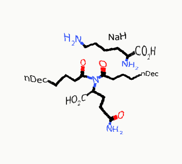 CCCCCCCCCCCCCC(=O)N(C(=O)CCCCCCCCCCCCC)C(CCC(N)=O)C(=O)O.NCCCCC(N)C(=O)O.[NaH]